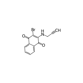 C#CCNC1=C(Br)C(=O)c2ccccc2C1=O